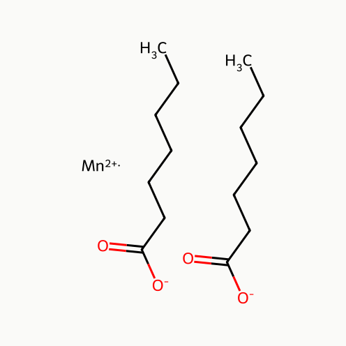 CCCCCCC(=O)[O-].CCCCCCC(=O)[O-].[Mn+2]